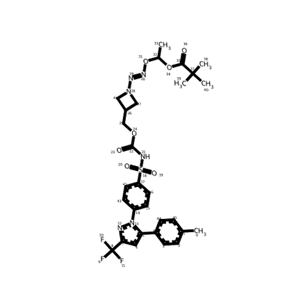 Cc1ccc(-c2cc(C(F)(F)F)nn2-c2ccc(S(=O)(=O)NC(=O)OCC3CN(N=NOC(C)OC(=O)C(C)(C)C)C3)cc2)cc1